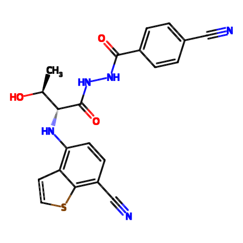 C[C@H](O)[C@@H](Nc1ccc(C#N)c2sccc12)C(=O)NNC(=O)c1ccc(C#N)cc1